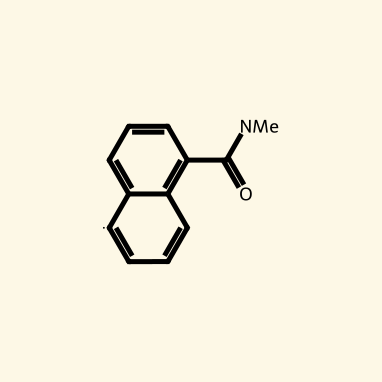 CNC(=O)c1cccc2[c]cccc12